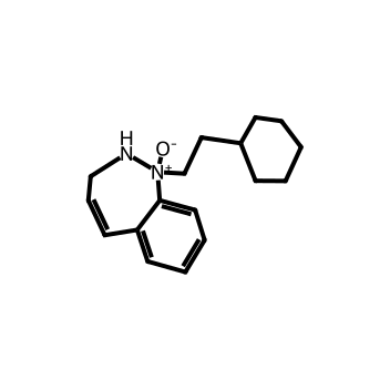 [O-][N+]1(CCC2CCCCC2)NCC=Cc2ccccc21